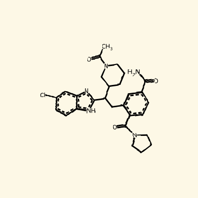 CC(=O)N1CCCC(C(Cc2cc(C(N)=O)ccc2C(=O)N2CCCC2)c2nc3cc(Cl)ccc3[nH]2)C1